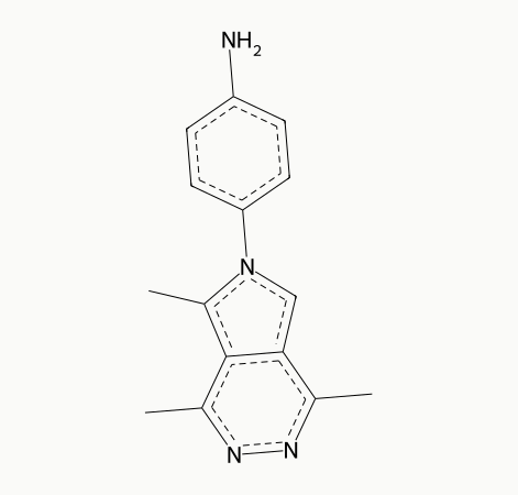 Cc1nnc(C)c2c(C)n(-c3ccc(N)cc3)cc12